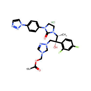 C[C@@H](N1CCN(c2ccc(-n3ccnn3)cc2)C1=O)[C@](O)(CN1CN(COC(=O)C(C)(C)C)C=N1)c1ccc(F)cc1F.Cl